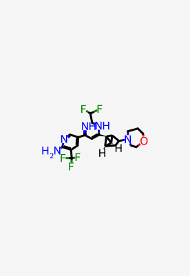 N=C(/C=C(\NCC(F)F)[C@]12C3C(N4CCCOCC4)C[C@@H]1[C@H]32)c1cnc(N)c(C(F)(F)F)c1